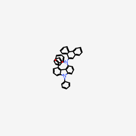 c1ccc(-c2cccc3c2c2c(N(c4ccccc4)c4cc5ccccc5c5ccccc45)cccc2n3-c2ccccc2)cc1